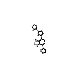 c1csc(-c2ccc(-c3ccc(-c4cccs4)c4nsnc34)s2)c1